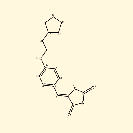 O=C1NC(=O)/C(=C/c2ccc(OCCC3CCCC3)cc2)S1